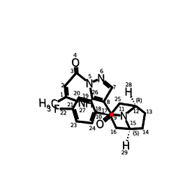 Cc1cc(=O)n2ncc(C(=O)N3[C@@H]4CC[C@H]3C[C@@H](c3ccc(F)cc3)C4)c2[nH]1